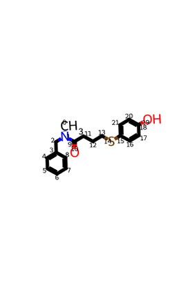 CN(Cc1ccccc1)C(=O)CCCSc1ccc(O)cc1